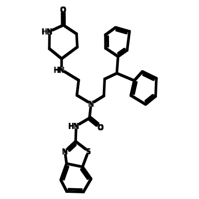 O=C1CCC(NCCN(CCC(c2ccccc2)c2ccccc2)C(=O)Nc2nc3ccccc3s2)CN1